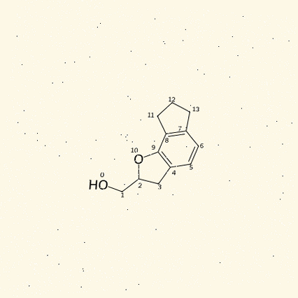 OCC1Cc2ccc3c(c2O1)CCC3